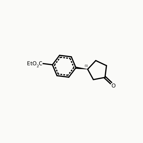 CCOC(=O)c1ccc([C@H]2CCC(=O)C2)cc1